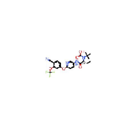 CC[C@H](C(=O)Nc1ccc(Oc2ccc(C#N)c(OC(F)(F)F)c2)nc1)N(C(=O)O)C(C)(C)C